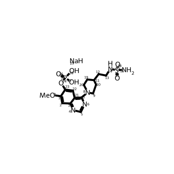 COc1cc2ncnc(N3CCC(CCNS(N)(=O)=O)CC3)c2cc1OP(=O)(O)O.[NaH]